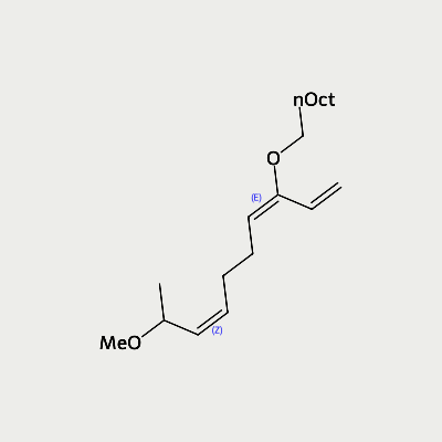 C=C/C(=C\CC/C=C\C(C)OC)OCCCCCCCCC